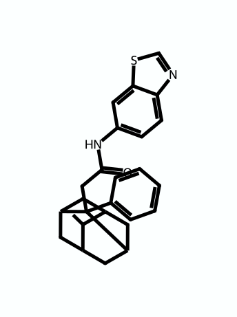 CC1C2CC3CC1CC(C2)C3(CC(=O)Nc1ccc2ncsc2c1)c1ccccc1